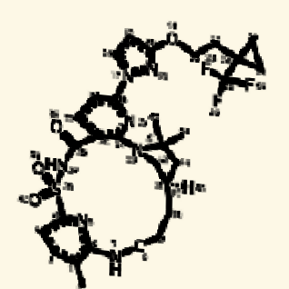 Cc1ccc2nc1NCCC[C@H]1CN(c3nc(-n4ccc(OCCC5(C(F)(F)F)CC5)n4)ccc3C(=O)NS2(=O)=O)C(C)(C)C1